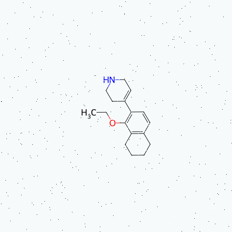 CCOc1c(C2=CCNCC2)ccc2c1CCCC2